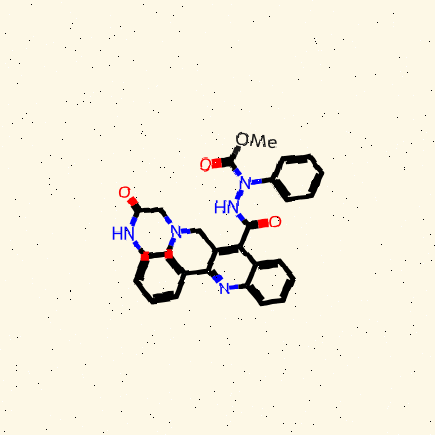 COC(=O)N(NC(=O)c1c(CN2CCNC(=O)C2)c(-c2ccccc2)nc2ccccc12)c1ccccc1